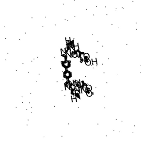 COC(=O)N[C@H](C(=O)N1C2C[C@H]2C[C@@H]1c1ncc(-c2ccc(-c3ccc(-c4cnc([C@H]5C[C@H]6C[C@H]6N5C(=O)CC(C)CN(C)C(=O)O)[nH]4)cc3)cc2)[nH]1)C(C)C